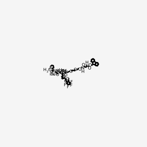 CCCCCCN(C(=O)[C@@H](NC(=O)[C@H]1CCCCN1C)[C@@H](C)CC)[C@H](C[C@@H](OC(=O)NCCOCCOCCOCNC(=O)CNC(=O)OCC1c2ccccc2-c2ccccc21)c1nc(C(=O)Oc2c(F)c(F)c(F)c(F)c2F)cs1)C(C)C